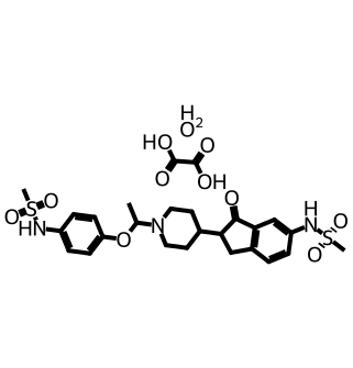 CC(Oc1ccc(NS(C)(=O)=O)cc1)N1CCC(C2Cc3ccc(NS(C)(=O)=O)cc3C2=O)CC1.O.O=C(O)C(=O)O